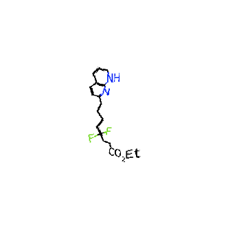 CCOC(=O)CCC(F)(F)CCCCc1ccc2c(n1)NCCC2